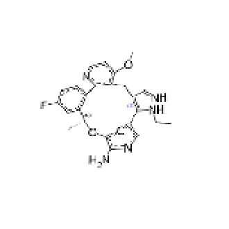 CCN/C1=C(\C=N)Cc2c(OC)ccnc2-c2ccc(F)cc2[C@@H](C)Oc2cc1cnc2N